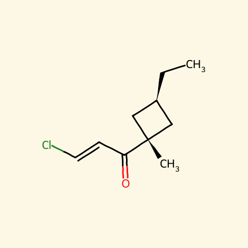 CC[C@H]1C[C@](C)(C(=O)C=CCl)C1